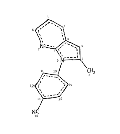 Cc1cc2cccnc2n1-c1ccc(C#N)cc1